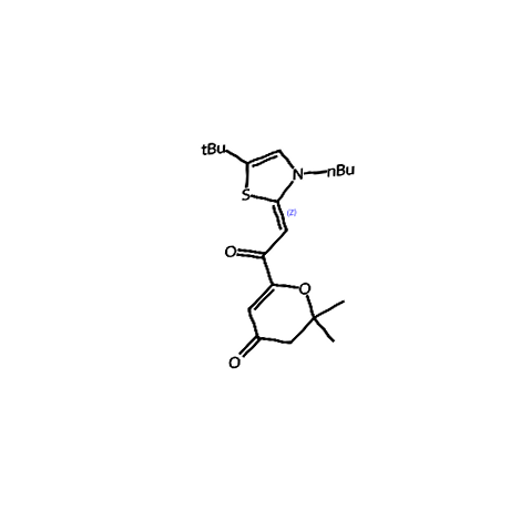 CCCCN1C=C(C(C)(C)C)S/C1=C\C(=O)C1=CC(=O)CC(C)(C)O1